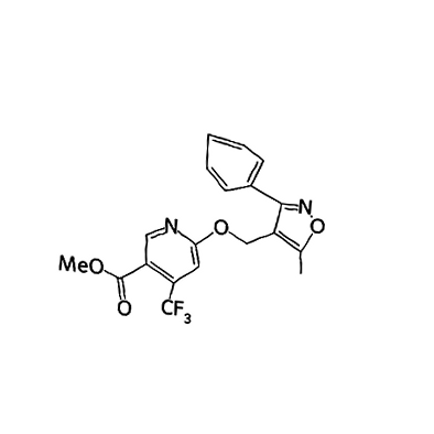 COC(=O)c1cnc(OCc2c(-c3ccccc3)noc2C)cc1C(F)(F)F